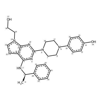 C[C@@H](Nc1nc(N2CCN(c3ccc(O)cc3)CC2)nc2c1ncn2CCO)c1ccccc1